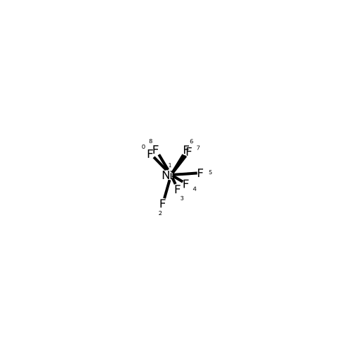 [F][Ni]([F])([F])([F])([F])([F])([F])[F]